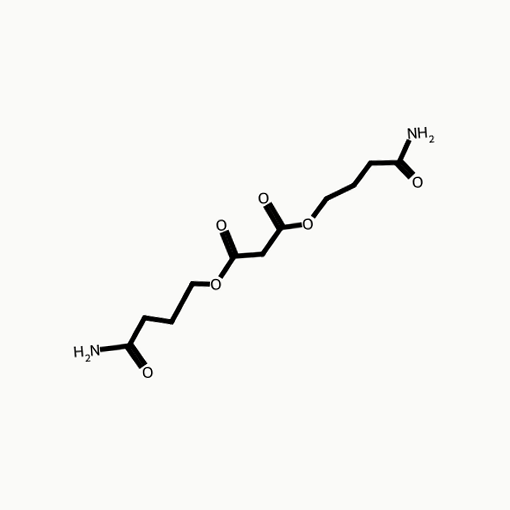 NC(=O)CCCOC(=O)CC(=O)OCCCC(N)=O